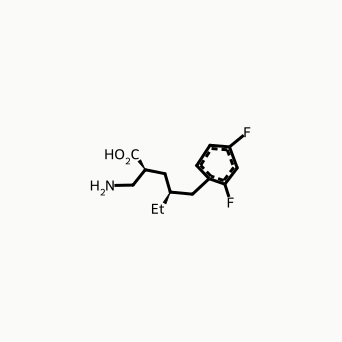 CC[C@H](Cc1ccc(F)cc1F)C[C@@H](CN)C(=O)O